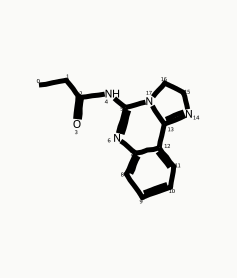 CCC(=O)NC1=Nc2ccccc2C2=NCCN12